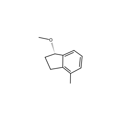 CO[C@H]1CCc2c(C)cccc21